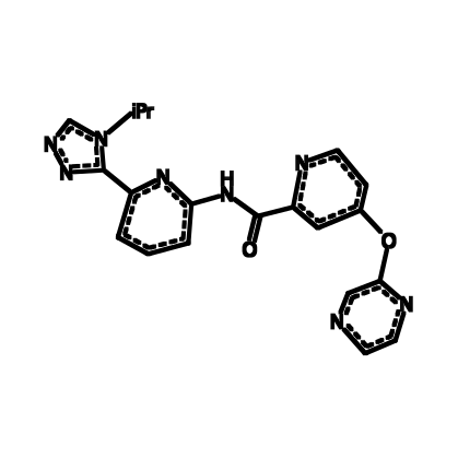 CC(C)n1cnnc1-c1cccc(NC(=O)c2cc(Oc3cnccn3)ccn2)n1